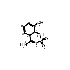 NC1=NS(=O)(=O)NC2C(O)=CC=CC12